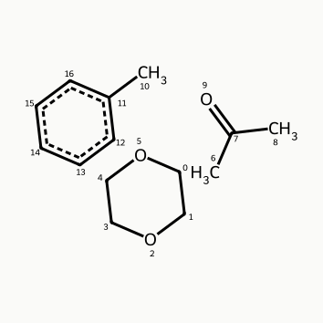 C1COCCO1.CC(C)=O.Cc1ccccc1